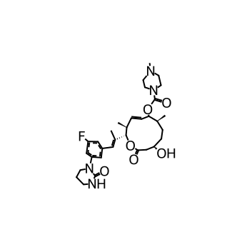 C/C(=C\c1cc(F)cc(N2CCCNC2=O)c1)[C@H]1OC(=O)C[C@H](O)CC[C@H](C)[C@H](OC(=O)N2CCN(C)CC2)/C=C/[C@@H]1C